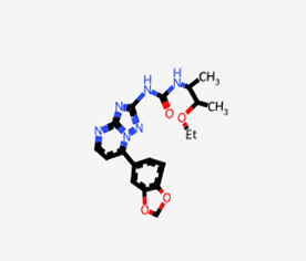 CCOC(C)C(C)NC(=O)Nc1nc2nccc(-c3ccc4c(c3)OCO4)n2n1